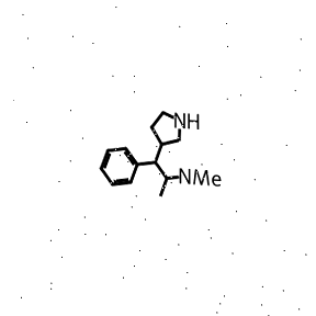 CNC(C)C(c1ccccc1)C1CCNC1